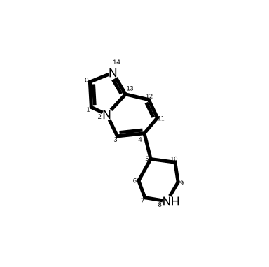 c1cn2cc(C3CCNCC3)ccc2n1